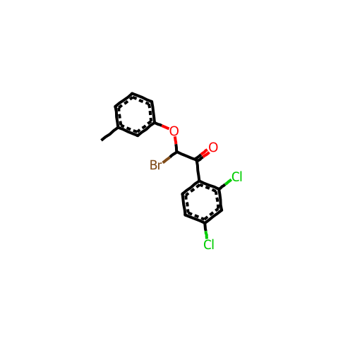 Cc1cccc(OC(Br)C(=O)c2ccc(Cl)cc2Cl)c1